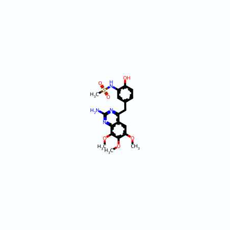 COc1cc2c(Cc3ccc(O)c(NS(C)(=O)=O)c3)nc(N)nc2c(OC)c1OC